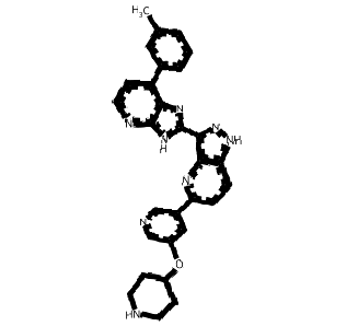 Cc1cccc(-c2ccnc3[nH]c(-c4n[nH]c5ccc(-c6cncc(OC7CCNCC7)c6)nc45)nc23)c1